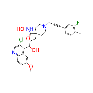 COc1ccc2ncc(Cl)c([C@H](O)CCC3(C(=O)NO)CCN(CC#Cc4ccc(C)c(F)c4)CC3)c2c1